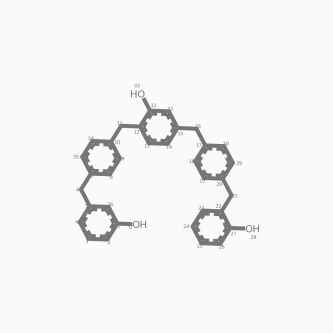 Oc1cccc(Cc2ccc(Cc3ccc(Cc4ccc(Cc5ccccc5O)cc4)cc3O)cc2)c1